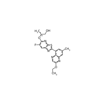 CCOc1cnc2c(-c3nc4cc(F)c(O[C@@H](C)CO)nc4s3)cc(C)cc2n1